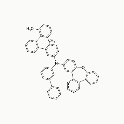 Cc1ccccc1-c1ccccc1-c1cc(N(c2cccc(-c3ccccc3)c2)c2ccc3c(c2)-c2ccccc2-c2ccccc2O3)ccc1C